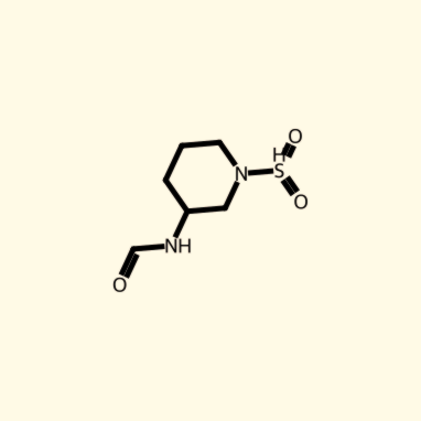 O=CNC1CCCN([SH](=O)=O)C1